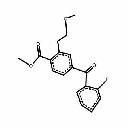 COCCc1cc(C(=O)c2ccccc2F)ccc1C(=O)OC